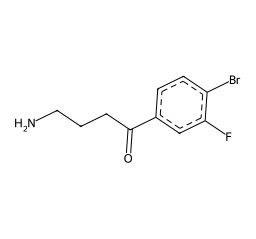 NCCCC(=O)c1ccc(Br)c(F)c1